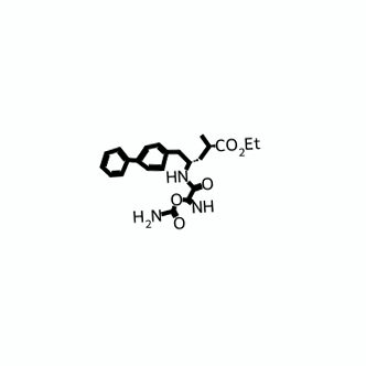 CCOC(=O)[C@H](C)C[C@@H](Cc1ccc(-c2ccccc2)cc1)NC(=O)C(=N)OC(N)=O